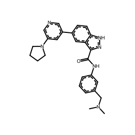 CN(C)Cc1cccc(NC(=O)c2n[nH]c3ccc(-c4cncc(N5CCCC5)c4)cc23)c1